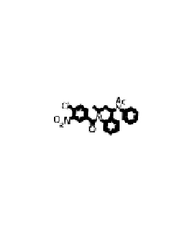 CC(=O)N(c1ccccc1)C1CC(C)N(C(=O)c2ccc(Cl)c([N+](=O)[O-])c2)c2ccccc21